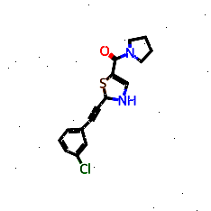 O=C(C1=CNC(C#Cc2cccc(Cl)c2)S1)N1CCCC1